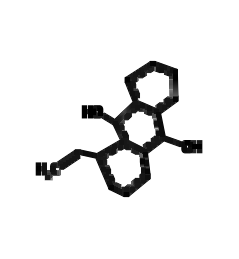 C=Cc1cccc2c(O)c3ccccc3c(O)c12